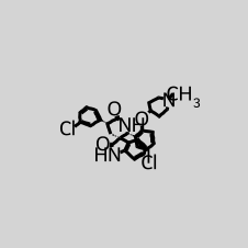 CN1CCC(Oc2ccc(I)cc2[C@H]2NC(=O)[C@@H](c3cccc(Cl)c3)C[C@]23C(=O)Nc2cc(Cl)ccc23)CC1